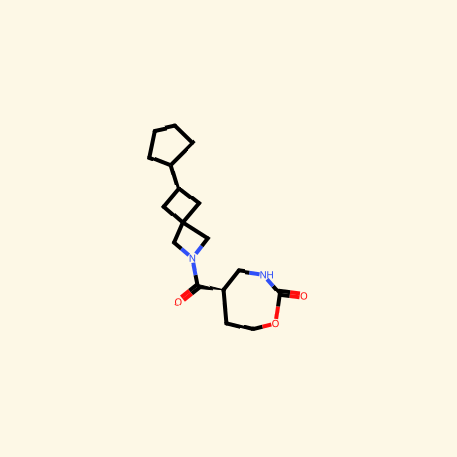 O=C1NC[C@H](C(=O)N2CC3(CC(C4CCCC4)C3)C2)CCO1